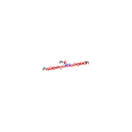 CC(C)OCCOCCOCCOCCOCCOCC(COCCOCCOCCOCCOCCOC(C)C)NCC(=O)C(C)C